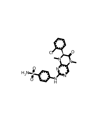 CN1C(=O)[C@H](c2ccccc2Cl)N(C)c2nc(Nc3ccc(S(N)(=O)=O)cc3)ncc21